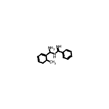 CC1CC=CC=C1C(N)NC(=N)c1ccccc1